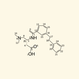 C=C(N[C@H](CC(=O)O)CN(C)C)c1cccc(CCc2ccccc2)c1